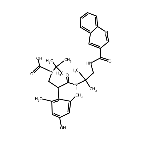 Cc1cc(O)cc(C)c1C(CN(C(=O)O)C(C)(C)C)C(=O)NC(C)(C)CNC(=O)c1cnc2ccccc2c1